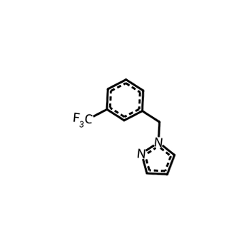 FC(F)(F)c1cccc(Cn2cccn2)c1